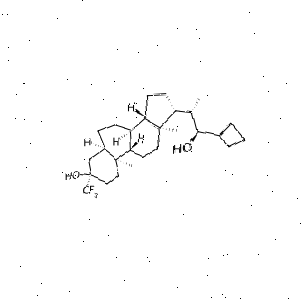 C[C@H]([C@H](O)C1CCC1)[C@H]1CC[C@H]2[C@@H]3CC[C@@H]4C[C@@](O)(C(F)(F)F)CC[C@]4(C)[C@H]3CC[C@]12C